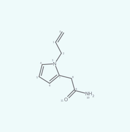 C=CCn1cccc1CC(N)=O